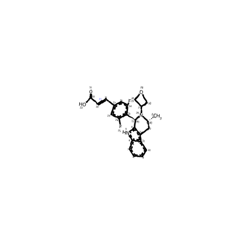 C[C@@H]1Cc2c([nH]c3ccccc23)[C@@H](c2c(F)cc(/C=C/C(=O)O)cc2F)N1C1COC1